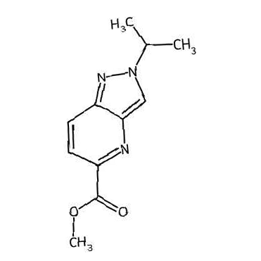 COC(=O)c1ccc2nn(C(C)C)cc2n1